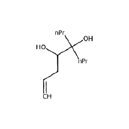 [CH]=CCC(O)C(O)(CCC)CCC